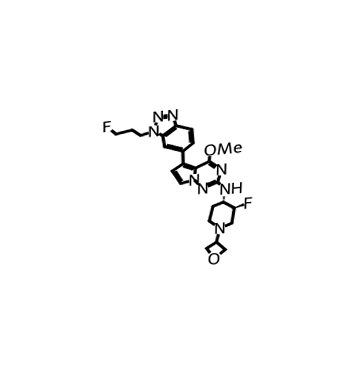 COc1nc(N[C@H]2CCN(C3COC3)C[C@@H]2F)nn2ccc(-c3ccc4nnn(CCCF)c4c3)c12